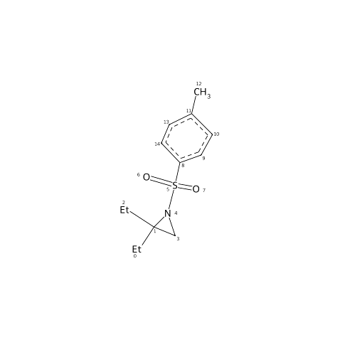 CCC1(CC)CN1S(=O)(=O)c1ccc(C)cc1